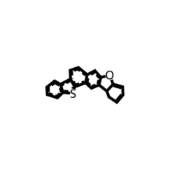 C1=CCC2C(=C1)Oc1cc3ccc4c5ccccc5sc4c3cc12